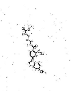 CCOc1nc(N2CCc3cc(C)ccc32)ncc1C(=O)NCCCNC(=O)OC(C)(C)C